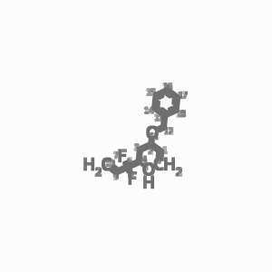 C=CC(C[C@H](O)C(F)(F)C=C)OCc1ccccc1